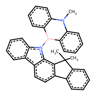 CN1c2ccccc2B(n2c3ccccc3c3ccc4c(c32)C(C)(C)c2ccccc2-4)c2ccccc21